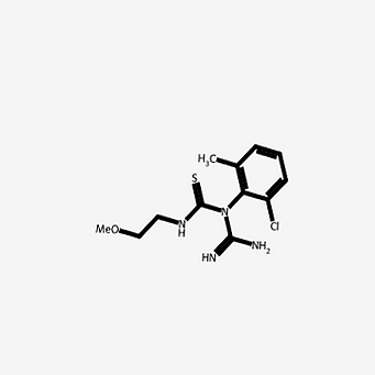 COCCNC(=S)N(C(=N)N)c1c(C)cccc1Cl